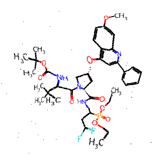 CCOP(=O)(OCC)C(CC(F)F)NC(=O)[C@@H]1C[C@@H](Oc2cc(-c3ccccc3)nc3cc(OC)ccc23)CN1C(=O)C(NC(=O)OC(C)(C)C)C(C)(C)C